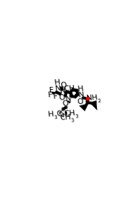 C[C@@]1(N2C[C@@H](C(F)(F)F)NC2=O)C(=O)N(COCC[Si](C)(C)C)c2cc(NC(=O)C(N)=C(C3CC3)C3CC3)ccc21